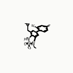 CN1c2cc(-c3ccc(F)cc3C#N)cc(CC3CC3)c2NS1(=O)=O